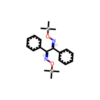 C[Si](C)(C)O/N=C(\C(=N/O[Si](C)(C)C)c1ccccc1)c1ccccc1